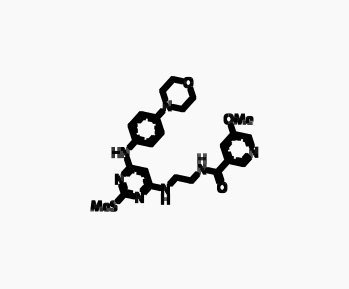 COc1cncc(C(=O)NCCNc2cc(Nc3ccc(N4CCOCC4)cc3)nc(SC)n2)c1